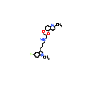 Cc1ccc2c3c(ccc2n1)OCC(CNCCCCc1cn(C)c2ccc(F)cc12)O3